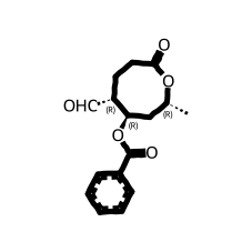 C[C@@H]1C[C@@H](OC(=O)c2ccccc2)[C@H](C=O)CCC(=O)O1